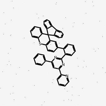 c1ccc(-c2cc(-c3ccccn3)nc(-c3ccccc3-c3ccc4c(c3)C3(c5ccccc5S4)c4ccccc4-c4ccccc43)n2)cc1